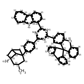 C[C@H]1C[C@H]2CC3CC(c4ccc(-c5nc(-c6ccc7c(c6)C6(c8ccccc8O7)c7ccccc7-c7ccccc76)nc(-c6cccc7c6sc6ccccc67)n5)cc4)(C1)C32